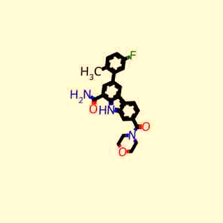 Cc1ccc(F)cc1-c1cc(C(N)=O)c2[nH]c3cc(C(=O)N4CCOCC4)ccc3c2c1